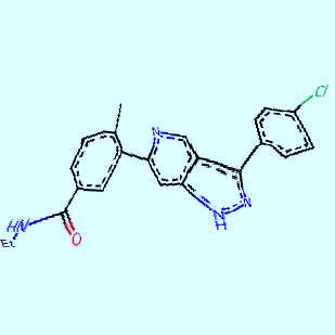 CCNC(=O)c1ccc(C)c(-c2cc3[nH]nc(-c4ccc(Cl)cc4)c3cn2)c1